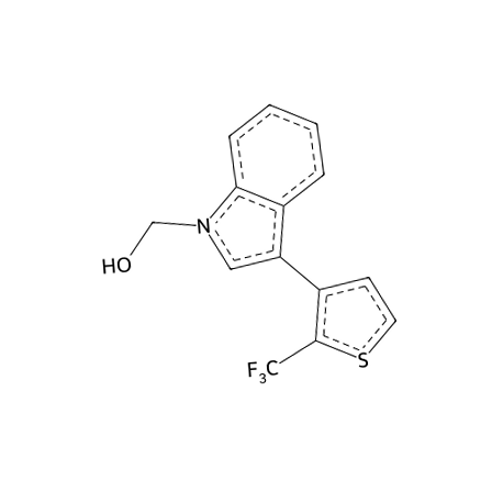 OCn1cc(-c2ccsc2C(F)(F)F)c2ccccc21